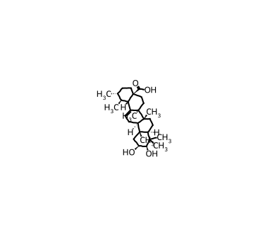 C[C@H]1[C@H](C)CC[C@]2(C(=O)O)CC[C@]3(C)C(=CC[C@@H]4[C@@]5(C)C[C@H](O)[C@H](O)C(C)(C)[C@@H]5CC[C@]43C)[C@H]12